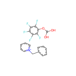 OB(O)Oc1c(F)c(F)c(F)c(F)c1F.c1ccc(C[n+]2ccccc2)cc1